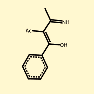 CC(=N)/C(C(C)=O)=C(\O)c1ccccc1